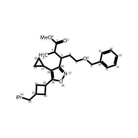 COC(=O)C(C)C(CCOCc1ccccc1)c1noc(C2CC(CC(C)C)C2)c1C1CC1